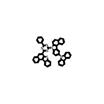 c1ccc(-c2nc(-c3cc4ccccc4c4c3sc3ccccc34)nc(-n3c4ccc(-n5c6ccccc6c6ccccc65)cc4c4c5ccccc5ccc43)n2)cc1